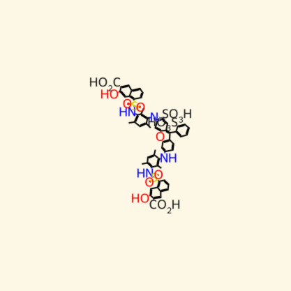 Cc1cc(C)c(NS(=O)(=O)c2cccc3cc(C(=O)O)c(O)cc23)c(C)c1/N=c1\cc2oc3cc(Nc4c(C)cc(C)c(NS(=O)(=O)c5cccc6cc(C(=O)O)c(O)cc56)c4C)ccc3c(-c3ccccc3S(=O)(=O)O)c-2cc1S(=O)(=O)O